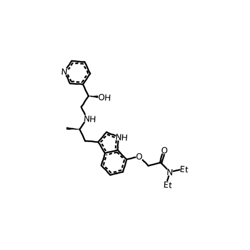 CCN(CC)C(=O)COc1cccc2c(C[C@@H](C)NC[C@H](O)c3cccnc3)c[nH]c12